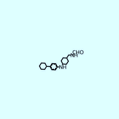 O=CNCC1CCC(Nc2ccc(C3CCCCC3)cc2)CC1